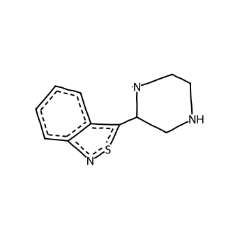 c1ccc2c(C3CNCC[N]3)snc2c1